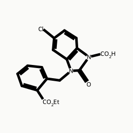 CCOC(=O)c1ccccc1Cn1c(=O)n(C(=O)O)c2ccc(Cl)cc21